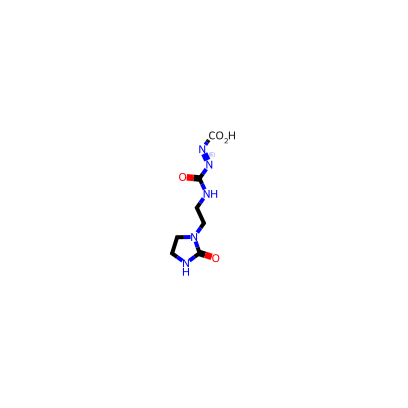 O=C(O)/N=N/C(=O)NCCN1CCNC1=O